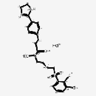 CN(CCNCS(=O)(=O)c1cccc(Cl)c1Cl)C(=O)CCc1ccc(C2=NCCN2)cc1.Cl